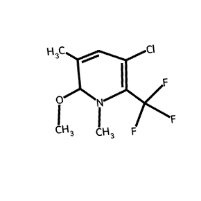 COC1C(C)=CC(Cl)=C(C(F)(F)F)N1C